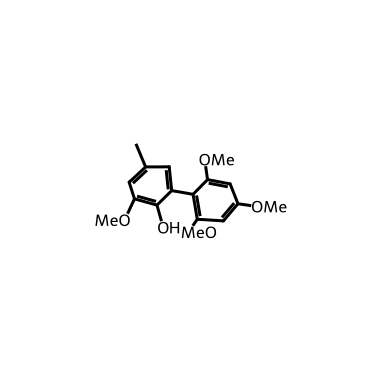 COc1cc(OC)c(-c2cc(C)cc(OC)c2O)c(OC)c1